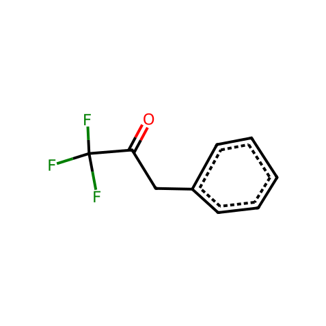 O=C(Cc1ccccc1)C(F)(F)F